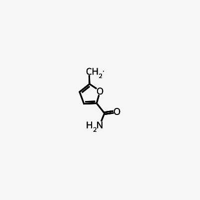 [CH2]c1ccc(C(N)=O)o1